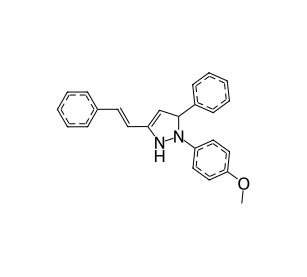 COc1ccc(N2NC(C=Cc3ccccc3)=CC2c2ccccc2)cc1